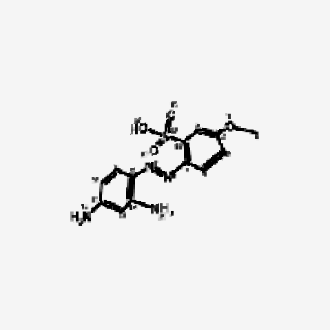 COc1ccc(/N=N/c2ccc(N)cc2N)c(S(=O)(=O)O)c1